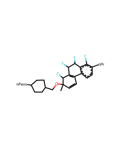 CCCCCC1CCC(COC2(C)C=CC3=C(C(F)C(F)c4c3ccc(CCC)c4F)C2F)CC1